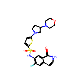 O=c1[nH]ccc2cc(F)c(NS(=O)(=O)c3ccc(N4CCC(N5CCOCC5)C4)s3)cc12